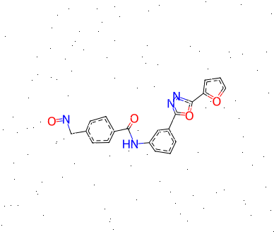 O=NCc1ccc(C(=O)Nc2cccc(-c3nnc(-c4ccco4)o3)c2)cc1